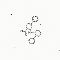 O=C(O)c1ccc(-c2ccccc2)cc1Nc1ccccc1-c1ccccc1